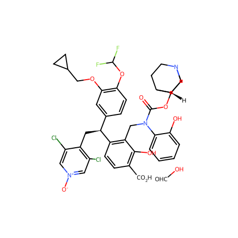 O=C(O)c1ccc([C@@H](Cc2c(Cl)c[n+]([O-])cc2Cl)c2ccc(OC(F)F)c(OCC3CC3)c2)c(CN(C(=O)O[C@H]2CN3CCC2CC3)c2ccccc2O)c1O.O=CO